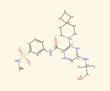 CC(C)(C)NS(=O)(=O)c1cccc(NC(=O)c2ncc(NC(C)(C)CO)nc2N2CCC3(CCC3)CC2)c1